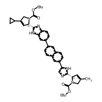 CC1=C[C@@H](c2ncc(-c3ccc4cc(-c5ccc6nc([C@@H]7C=C(C8CC8)CN7C(=O)OC(C)(C)C)[nH]c6c5)ccc4c3)[nH]2)N(C(=O)OC(C)(C)C)C1